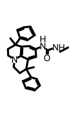 CCNC(=O)Nc1cc2c3c(c1)C(C)(c1ccccc1)CCN3CCC2(C)c1ccccc1